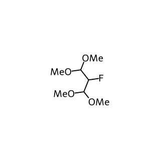 COC(OC)C(F)C(OC)OC